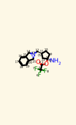 N[C@@]1(OC(=O)C(F)(F)F)CC[C@H](CN2Cc3ccccc3C2)C1